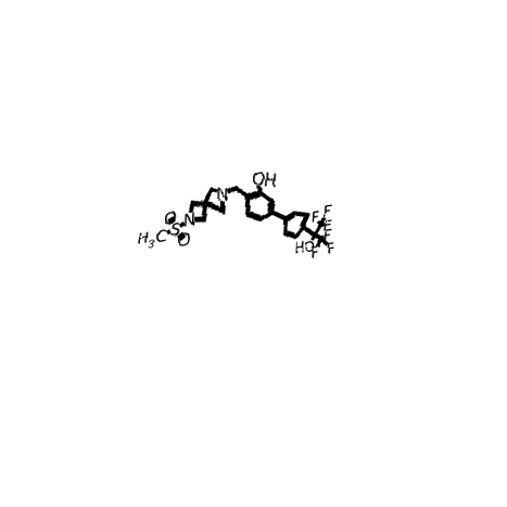 CS(=O)(=O)N1CC2(CN(Cc3ccc(-c4ccc(C(O)(C(F)(F)F)C(F)(F)F)cc4)cc3O)C2)C1